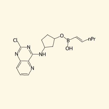 CCC/C=C/B(O)OC1CCC(Nc2nc(Cl)nc3cccnc23)C1